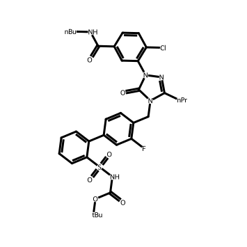 CCCCNC(=O)c1ccc(Cl)c(-n2nc(CCC)n(Cc3ccc(-c4ccccc4S(=O)(=O)NC(=O)OC(C)(C)C)cc3F)c2=O)c1